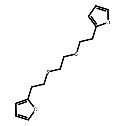 c1coc(CCSCCSCCc2ccco2)c1